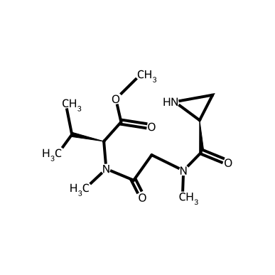 COC(=O)[C@H](C(C)C)N(C)C(=O)CN(C)C(=O)[C@@H]1CN1